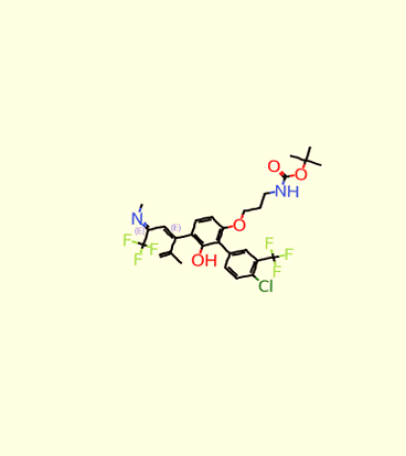 C=C(C)/C(=C\C(=N/C)C(F)(F)F)c1ccc(OCCCNC(=O)OC(C)(C)C)c(-c2ccc(Cl)c(C(F)(F)F)c2)c1O